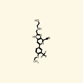 CCOc1ccc(-c2cc3[nH]c(CNCCO)nc3c(C#N)n2)cc1C(F)(F)F